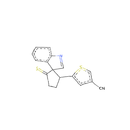 N#Cc1csc(C2CCC(=S)C23C=Nc2ccccc23)c1